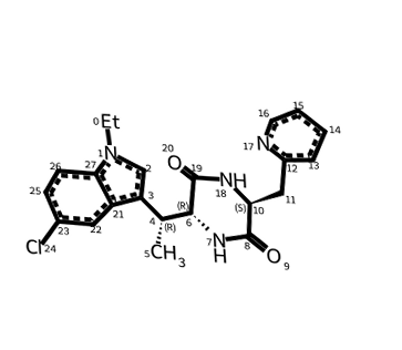 CCn1cc([C@@H](C)[C@H]2NC(=O)[C@H](Cc3ccccn3)NC2=O)c2cc(Cl)ccc21